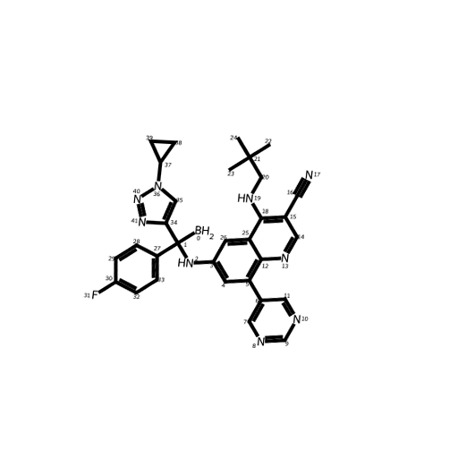 BC(Nc1cc(-c2cncnc2)c2ncc(C#N)c(NCC(C)(C)C)c2c1)(c1ccc(F)cc1)c1cn(C2CC2)nn1